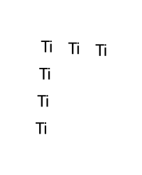 [Ti].[Ti].[Ti].[Ti].[Ti].[Ti]